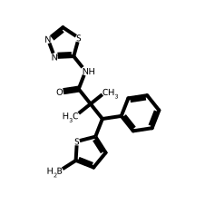 Bc1ccc(C(c2ccccc2)C(C)(C)C(=O)Nc2nncs2)s1